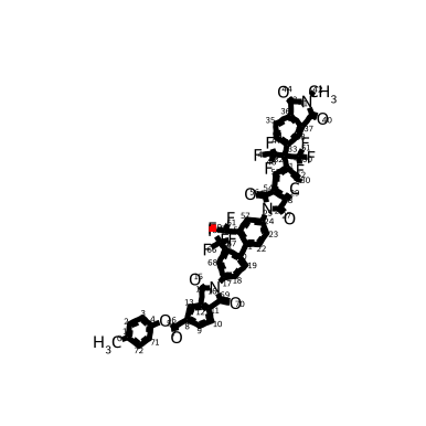 Cc1ccc(OC(=O)c2ccc3c(c2)C(=O)N(c2ccc(-c4ccc(N5C(=O)c6ccc(C(c7ccc8c(c7)C(=O)N(C)C8=O)(C(F)(F)F)C(F)(F)F)cc6C5=O)cc4C(F)(F)F)c(C(F)(F)F)c2)C3=O)cc1